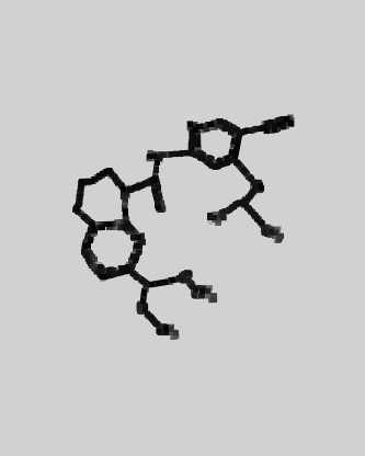 COC(OC)c1ccc2c(n1)N(C(=O)Nc1cc(OC(C)C)c(C#N)cn1)CCC2